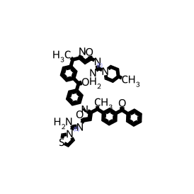 CC(c1cccc(C(=O)c2ccccc2)c1)c1cc(/N=C(\N)N2CCSC2)on1.CC1CCN(/C(N)=N/c2cc(C(C)c3cccc(C(=O)c4ccccc4)c3)no2)CC1